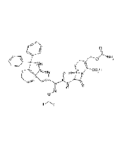 NC(=O)OCC1=C(C(=O)O)N2C(=O)C(NC(=O)C(=NOC(F)F)c3csc(NC(c4ccccc4)(c4ccccc4)c4ccccc4)n3)[C@@H]2SC1